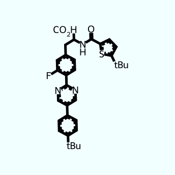 CC(C)(C)c1ccc(-c2cnc(-c3ccc(CC(NC(=O)c4ccc(C(C)(C)C)s4)C(=O)O)cc3F)nc2)cc1